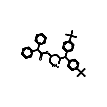 CC(CC(CN)OC(=O)N(c1ccccc1)c1ccccc1)C(c1ccc(C(C)(C)C)cc1)c1ccc(C(C)(C)C)cc1